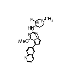 COc1nc(N[C@H]2CCN(C)C[C@@H]2F)nn2ccc(-c3ccc4ncccc4c3)c12